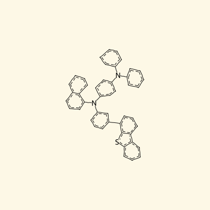 c1ccc(N(c2ccccc2)c2ccc(N(c3cccc(-c4cccc5c4sc4ccccc45)c3)c3cccc4ccccc34)cc2)cc1